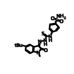 CN1C(=O)C(=NNC(=S)Nc2ccc(S(N)(=O)=O)cc2)c2cc(C(C)(C)C)ccc21